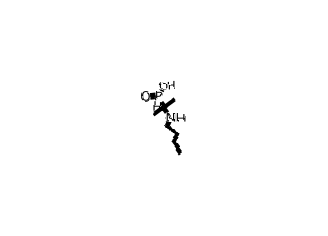 CCCCNC(C)(C)[PH](=O)O